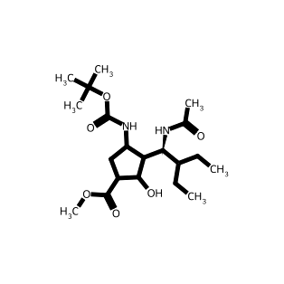 CCC(CC)[C@H](NC(C)=O)C1C(NC(=O)OC(C)(C)C)CC(C(=O)OC)C1O